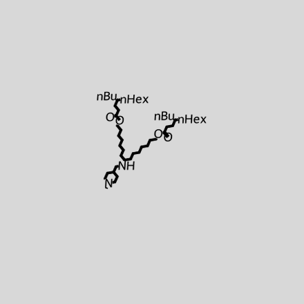 CCCCCCC(CCCC)CCC(=O)OCCCCCCCC(CCCCCCCOC(=O)CCC(CCCC)CCCCCC)NCC1CCN(C)CC1